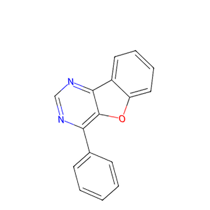 c1ccc(-c2ncnc3c2oc2ccccc23)cc1